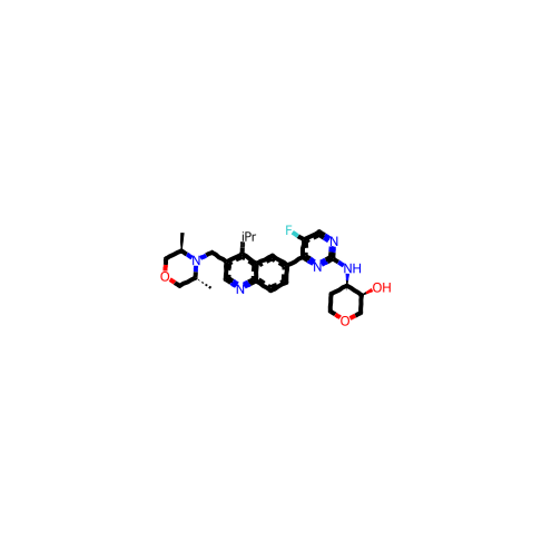 CC(C)c1c(CN2[C@H](C)COC[C@H]2C)cnc2ccc(-c3nc(N[C@@H]4CCOC[C@@H]4O)ncc3F)cc12